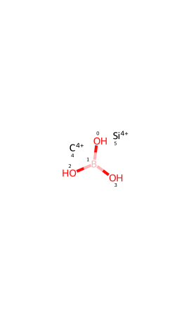 OB(O)O.[C+4].[Si+4]